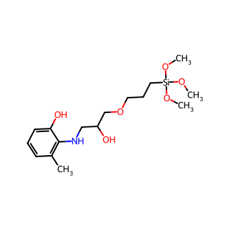 CO[Si](CCCOCC(O)CNc1c(C)cccc1O)(OC)OC